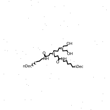 CCCCCCCCCCCCCCCNC(=O)CCN(CCCN(CCO)CCO)CCC(=O)NCCCCCCCCCCCCCCC